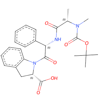 C[C@@H](C(=O)N[C@H](C(=O)N1c2ccccc2C[C@H]1C(=O)O)c1ccccc1)N(C)C(=O)OC(C)(C)C